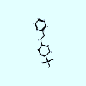 CC(C)(C)N1CCC(OCc2ccccc2)CC1